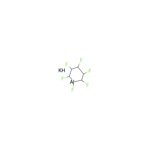 FC1C(F)[CH](F)[Al]([F])[CH](F)C1F.[KH]